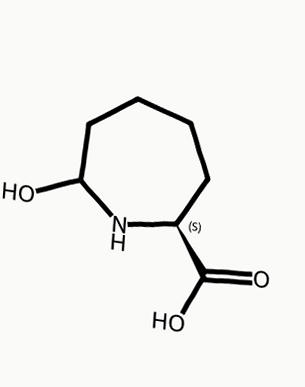 O=C(O)[C@@H]1CCCCC(O)N1